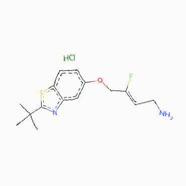 CC(C)(C)c1nc2cc(OCC(F)=CCN)ccc2s1.Cl